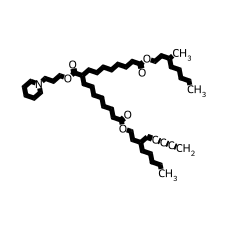 C=C=C=C=CC(CCCCC)CCOC(=O)CCCCCCCC(CCCCCCCC(=O)OCCC(C)CCCCC)C(=O)OCCCN1CCCCC1